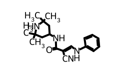 CC1(C)CC(NC(=O)C(C#N)=CNc2ccccc2)CC(C)(C)N1